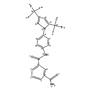 NC(=O)c1cccc(C(=O)Nc2ccc(-n3nc(C(F)(F)F)cc3C(F)(F)F)cc2)c1